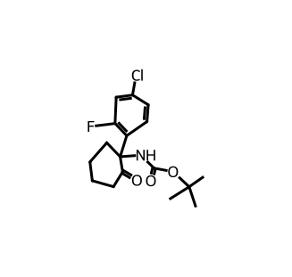 CC(C)(C)OC(=O)NC1(c2ccc(Cl)cc2F)CCCCC1=O